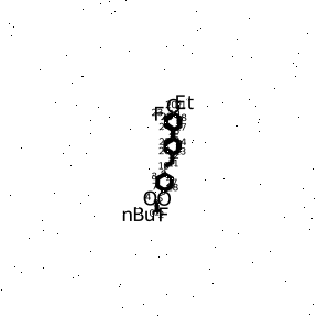 CCCC[C@H](F)C(=O)O[C@H]1CC[C@H](CCc2ccc(-c3ccc(OCC)c(F)c3)cc2)CC1